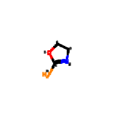 PC1=NCCO1